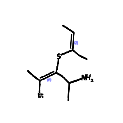 C/C=C(/C)S/C(=C(\C)CC)C(C)N